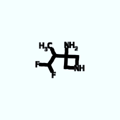 CC(C(F)F)C1(N)CNC1